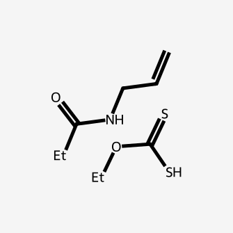 C=CCNC(=O)CC.CCOC(=S)S